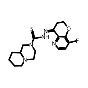 Fc1ccnc2c1OCC/C2=N/NC(=S)N1CCN2CCCCC2C1